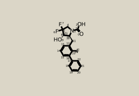 O=C(O)N1CC(F)(F)[C@@H](O)[C@@H]1Cc1cccc(-c2ccccc2)c1F